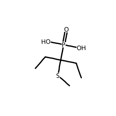 CCC(CC)(SC)P(=O)(O)O